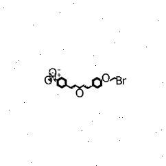 O=C(C=Cc1ccc(OCCBr)cc1)C=Cc1ccc([N+](=O)[O-])cc1